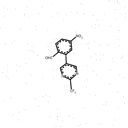 O=Cc1ccc([N+](=O)[O-])cc1-c1cnc(C(F)(F)F)nc1